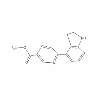 COC(=O)c1ccc(-c2cccc3c2CCN3)nc1